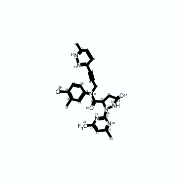 Cc1ccc(C#CCN(C(=O)C2CC(=O)NN2c2nc(C)cc(C(F)(F)F)n2)c2ccc(Cl)c(C)c2)nn1